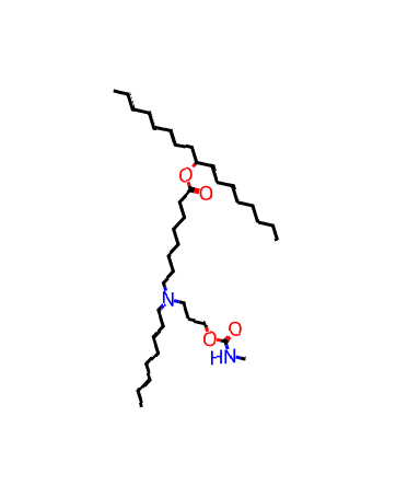 CCCCCCCCC(CCCCCCCC)OC(=O)CCCCCCCN(CCCCCCCC)CCCOC(=O)NC